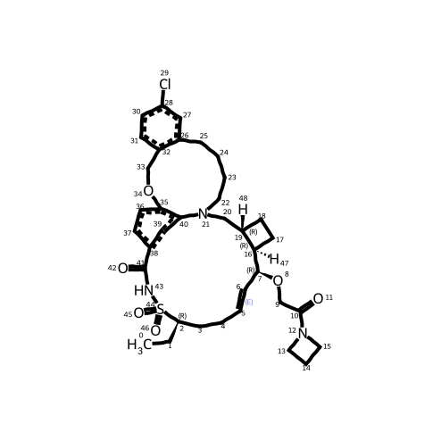 CC[C@@H]1CC/C=C/[C@H](OCC(=O)N2CCC2)[C@@H]2CC[C@H]2CN2CCCCc3cc(Cl)ccc3COc3ccc(cc32)C(=O)NS1(=O)=O